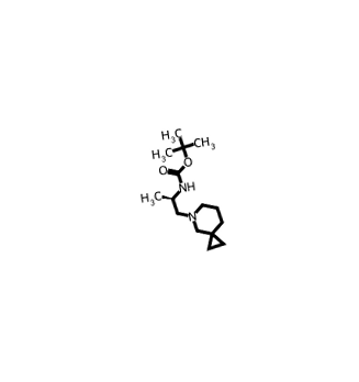 C[C@H](CN1CCCC2(CC2)C1)NC(=O)OC(C)(C)C